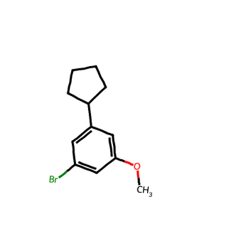 COc1cc(Br)cc(C2CCCC2)c1